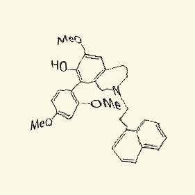 COc1ccc(-c2c(O)c(OC)cc3c2CN(CCc2cccc4ccccc24)CC3)c(OC)c1